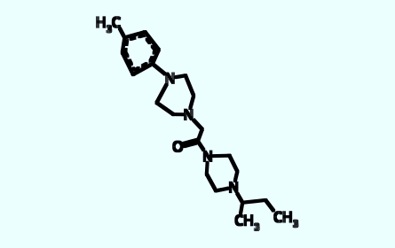 CCC(C)N1CCN(C(=O)CN2CCN(c3ccc(C)cc3)CC2)CC1